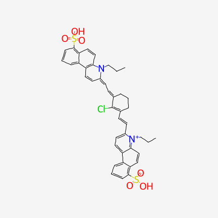 CCCN1/C(=C/C=C2\CCCC(/C=C/c3ccc4c5cccc(S(=O)(=O)O)c5ccc4[n+]3CCC)=C2Cl)C=Cc2c1ccc1c(S(=O)(=O)O)cccc21